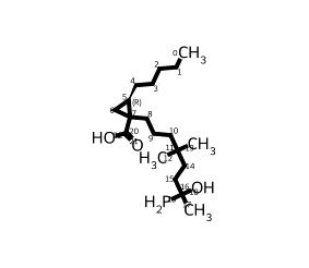 CCCCC[C@@H]1CC1(CCCC(C)(C)CCC(C)(O)P)C(=O)O